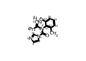 C=C(C(C)C)N(C(=O)n1ccnc1)c1c(C)cccc1C